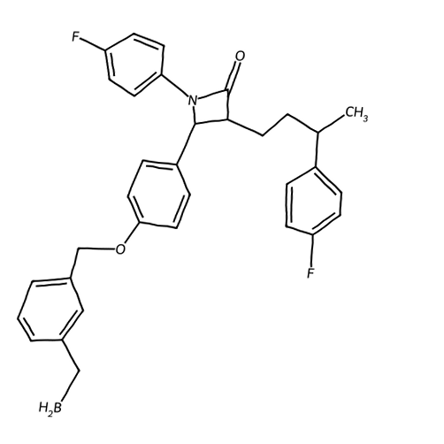 BCc1cccc(COc2ccc(C3C(CCC(C)c4ccc(F)cc4)C(=O)N3c3ccc(F)cc3)cc2)c1